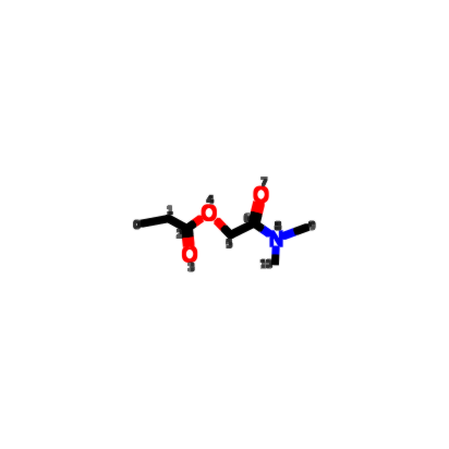 CCC(=O)OCC(=O)N(C)C